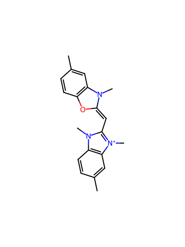 Cc1ccc2c(c1)N(C)C(=Cc1n(C)c3ccc(C)cc3[n+]1C)O2